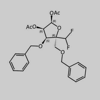 CC(=O)O[C@H]1O[C@@](COCc2ccccc2)(C(F)F)[C@@H](OCc2ccccc2)[C@H]1OC(C)=O